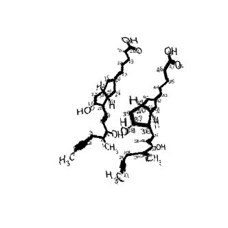 CC#CCC(C)[C@H](O)/C=C/C1[C@H](O)C[C@@H]2C/C(=C\CCCC(=O)O)C[C@H]12.CC#CCC(C)[C@H](O)/C=C/C1[C@H](O)C[C@@H]2C/C(=C\CCCC(=O)O)C[C@H]12